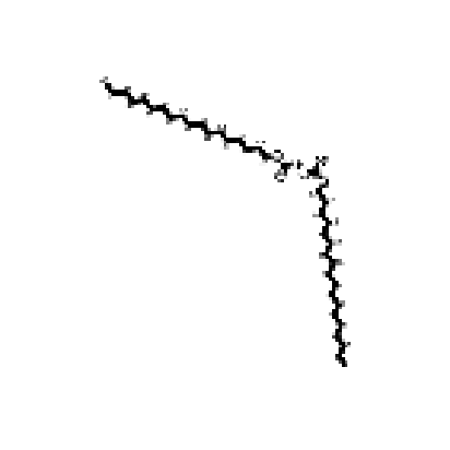 CCCCCCCCCCCCCCCCCCOC(=O)OOC(=O)OCCCCCCCCCCCCCCCCCC